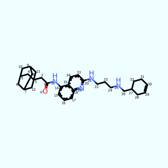 O=C(CC12CC3CC(CC(C3)C1)C2)Nc1cccc2nc(NCCCNCC3CC=CCC3)ccc12